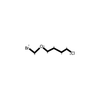 ClCCCCOCBr